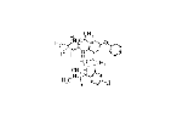 CC(C)c1cc(Oc2ccccc2)cc(C(C)C)c1NC(=S)NC(C)(C)C.Cc1cc(Cl)ccc1NC(=S)N(C)C